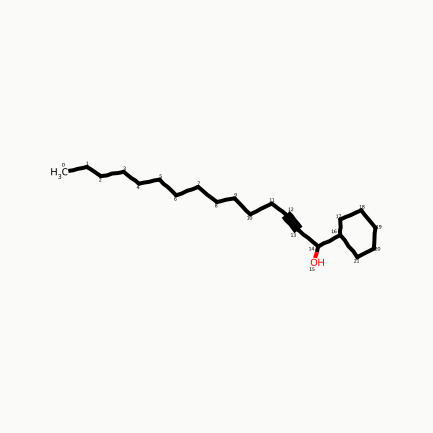 CCCCCCCCCCCCC#CC(O)C1CCCCC1